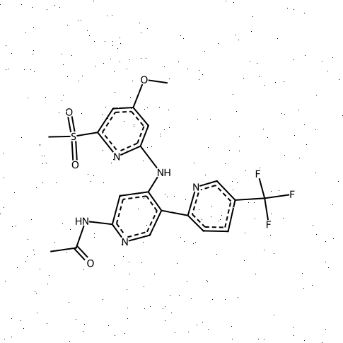 COc1cc(Nc2cc(NC(C)=O)ncc2-c2ccc(C(F)(F)F)cn2)nc(S(C)(=O)=O)c1